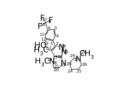 Cc1c(-c2ccc(C(F)(F)F)cc2O)nnc2c1N(C)CCN2[C@H]1CCCN(C)C1